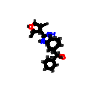 Cc1coc(C)c1-c1nc2cc(C(=O)c3ccccc3)ccc2[nH]1